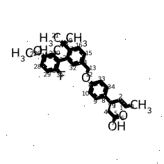 CC=C[C@@H](CC(=O)O)c1ccc(OCc2ccc(C(C)(C)C)c(-c3cc(OC)ccc3F)c2)cc1